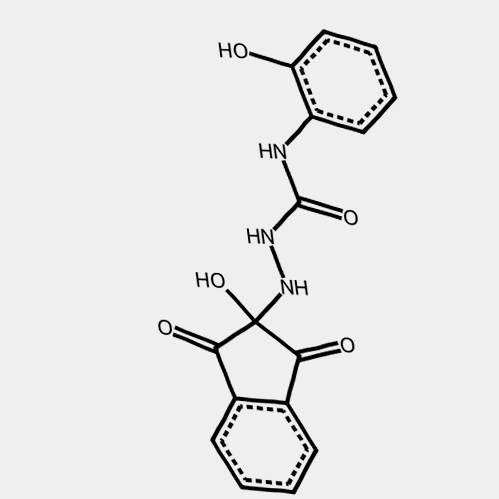 O=C(NNC1(O)C(=O)c2ccccc2C1=O)Nc1ccccc1O